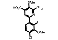 COc1c(Cl)ccc(-c2nc(N)c(SC)c(C(=O)O)n2)c1F